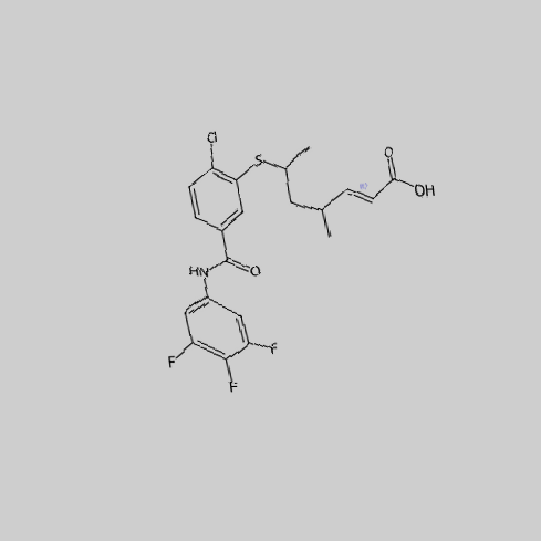 CC(/C=C/C(=O)O)CC(C)Sc1cc(C(=O)Nc2cc(F)c(F)c(F)c2)ccc1Cl